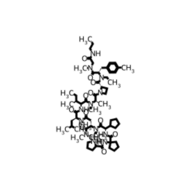 CCCNC(=O)CN(C)C(=O)[C@H](Cc1ccc(C)cc1)N(CC)C(=O)[C@@H]1CCN1C(=O)[C@H](C)N(C)C(=O)[C@@H](NC(=O)[C@H](CC(C)C)N(C)C(=O)C[C@@H](C(=O)N(C)C)N(C)C(=O)[C@H](C1CCCC1)N(C)C(=O)C1(NC(=O)C2CCCN2)CCCC1)[C@@H](C)CC